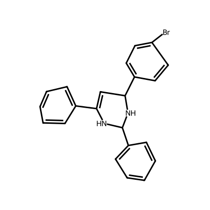 Brc1ccc(C2C=C(c3ccccc3)NC(c3ccccc3)N2)cc1